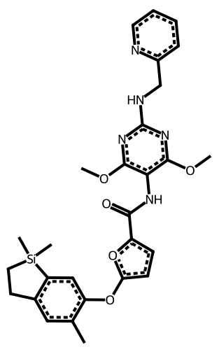 COc1nc(NCc2ccccn2)nc(OC)c1NC(=O)c1ccc(Oc2cc3c(cc2C)CC[Si]3(C)C)o1